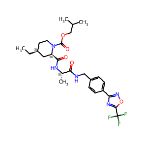 CC[C@H]1CCN(C(=O)OCC(C)C)[C@@H](C(=O)N[C@@H](C)C(=O)NCc2ccc(-c3noc(C(F)(F)F)n3)cc2)C1